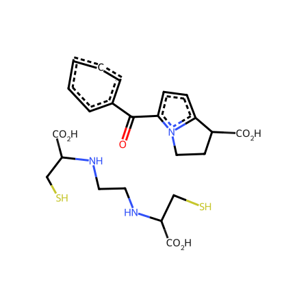 O=C(O)C(CS)NCCNC(CS)C(=O)O.O=C(c1ccccc1)c1ccc2n1CCC2C(=O)O